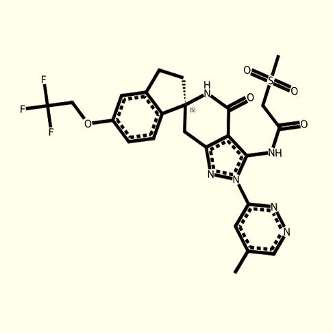 Cc1cnnc(-n2nc3c(c2NC(=O)CS(C)(=O)=O)C(=O)N[C@@]2(CCc4cc(OCC(F)(F)F)ccc42)C3)c1